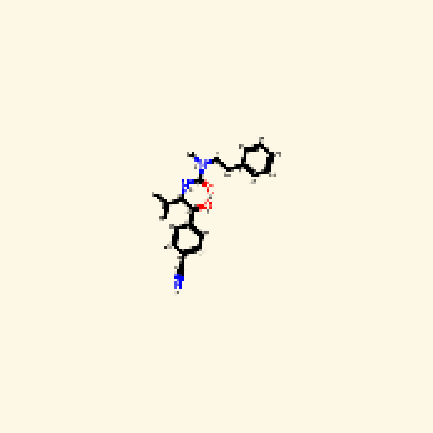 CC(C)C(NC(=O)N(C)CCc1ccccc1)C(=O)c1ccc(C#N)cc1